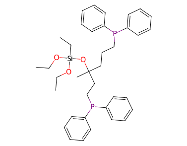 CCO[Si](CC)(OCC)OC(C)(CCCP(c1ccccc1)c1ccccc1)CCP(c1ccccc1)c1ccccc1